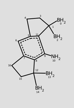 BC1(B)CCc2cc3c(c(N)c21)C(B)(B)CC3